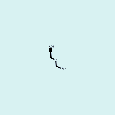 C#CCOC[C](C)C